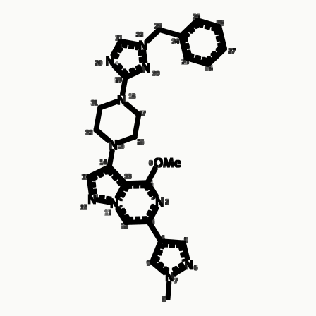 COc1nc(-c2cnn(C)c2)cn2ncc(N3CCN(c4ncn(Cc5ccccc5)n4)CC3)c12